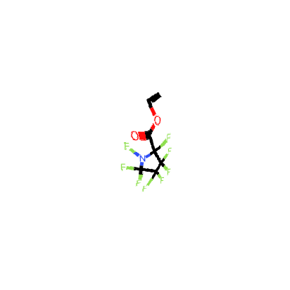 C=COC(=O)C1(F)N(F)C(F)(F)C(F)(F)C1(F)F